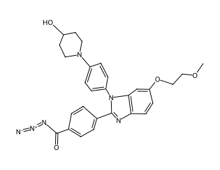 COCCOc1ccc2nc(-c3ccc(C(=O)N=[N+]=[N-])cc3)n(-c3ccc(N4CCC(O)CC4)cc3)c2c1